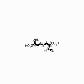 N[C@@H](CSSC[C@@H](C(=O)O)[N+](=S)[S-])C(=O)O